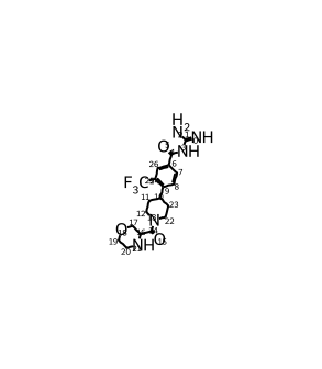 N=C(N)NC(=O)c1ccc(C2CCN(C(=O)C3COCCN3)CC2)c(C(F)(F)F)c1